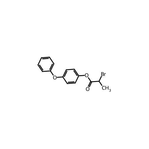 CC(Br)C(=O)Oc1ccc(Oc2ccccc2)cc1